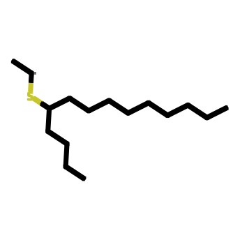 C[CH]SC(CCCC)CCCCCCCCC